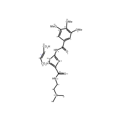 COc1cc(C(=O)Nc2nc(C(=O)NCCN(C)C)cs2)cc(OC)c1OC.O=C(O)/C=C/C(=O)O